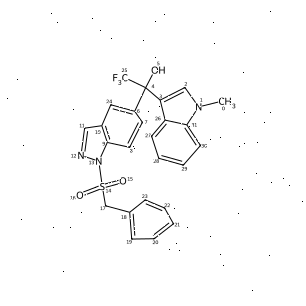 Cn1cc(C(O)(c2ccc3c(cnn3S(=O)(=O)Cc3ccccc3)c2)C(F)(F)F)c2ccccc21